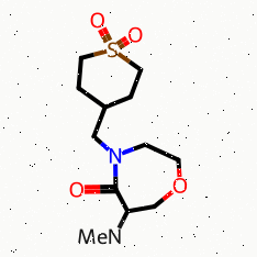 CNC1COCCN(CC2CCS(=O)(=O)CC2)C1=O